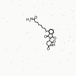 NC(=O)CCCCCCSc1cccc2c1C(=O)N(C1CCC(=O)NC1=O)C2=O